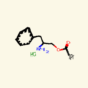 CC(C)C(=O)OCC(N)Cc1ccccc1.Cl